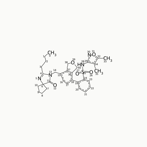 CCCCC1=NC2(CCCC2)C(=O)N1Cc1ccc(-c2ccccc2S(=O)(=O)Nc2noc(C)c2C)c2c1COC2